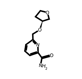 NC(=O)c1cccc(CO[C@H]2CCOC2)n1